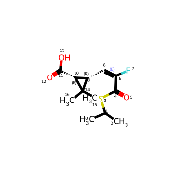 CC(C)SC(=O)/C(F)=C\[C@H]1[C@@H](C(=O)O)C1(C)C